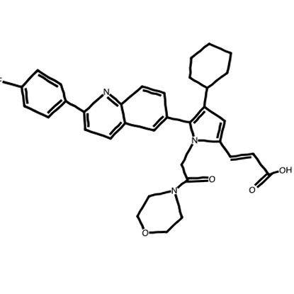 O=C(O)C=Cc1cc(C2CCCCC2)c(-c2ccc3nc(-c4ccc(F)cc4)ccc3c2)n1CC(=O)N1CCOCC1